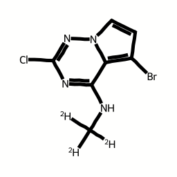 [2H]C([2H])([2H])Nc1nc(Cl)nn2ccc(Br)c12